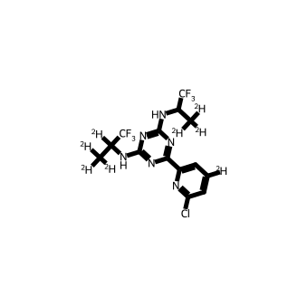 [2H]c1cc(Cl)nc(-c2nc(NC(C([2H])([2H])[2H])C(F)(F)F)nc(NC([2H])(C([2H])([2H])[2H])C(F)(F)F)n2)c1